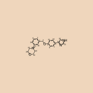 c1cc(COc2ccc(-c3c[nH]cn3)cc2)cc(N2CCOCC2)c1